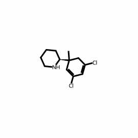 CC1([C@@H]2CCCCN2)C=C(Cl)C=C(Cl)C1